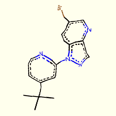 CC(C)(C)c1ccnc(-n2ncc3ncc(Br)cc32)c1